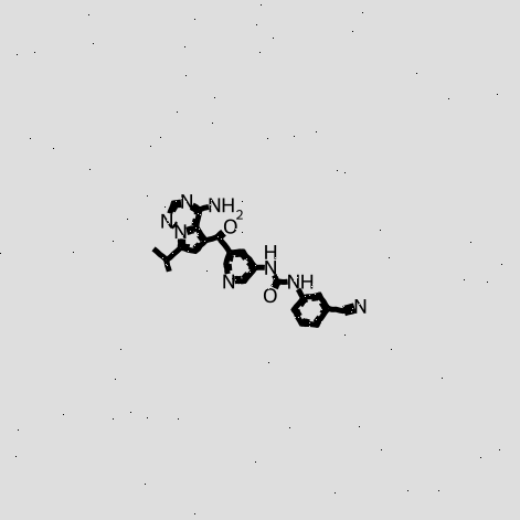 CC(C)c1cc(C(=O)c2cncc(NC(=O)Nc3cccc(C#N)c3)c2)c2c(N)ncnn12